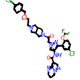 O=C(Nc1cn(CC(=O)N2CC3CN(CCOCc4ccc(Cl)cc4)CC3C2)nc1-c1cc(Cl)ccc1OC(F)F)c1cnn2cccnc12